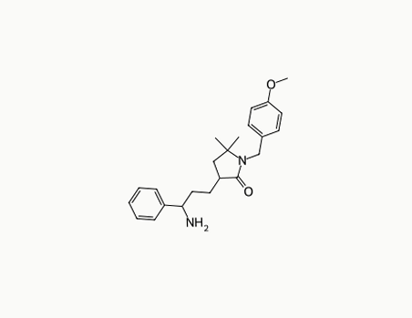 COc1ccc(CN2C(=O)C(CCC(N)c3ccccc3)CC2(C)C)cc1